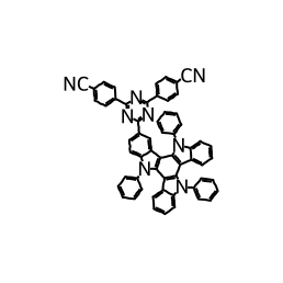 N#Cc1ccc(-c2nc(-c3ccc(C#N)cc3)nc(-c3ccc4c(c3)c3c5c(c6ccccc6n5-c5ccccc5)c5c(c6ccccc6n5-c5ccccc5)c3n4-c3ccccc3)n2)cc1